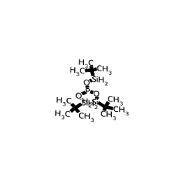 CC(C)(C)[SiH2]OP(O[SiH2]C(C)(C)C)O[SiH2]C(C)(C)C